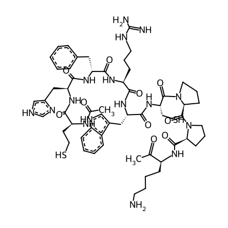 CC(=O)N[C@@H](CCS)C(=O)N[C@@H](Cc1c[nH]cn1)C(=O)N[C@H](Cc1ccccc1)C(=O)N[C@@H](CCCNC(=N)N)C(=O)N[C@@H](Cc1c[nH]c2ccccc12)C(=O)N[C@@H](CS)C(=O)N1CCC[C@H]1C(=O)N1CCC[C@H]1C(=O)N[C@@H](CCCCN)C(C)=O